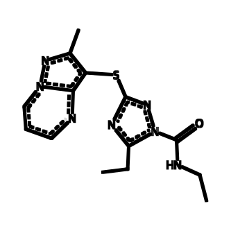 CCNC(=O)n1nc(Sc2c(C)nn3cccnc23)nc1CC